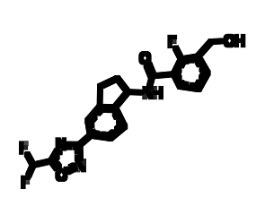 O=C(NC1CCc2cc(-c3noc(C(F)F)n3)ccc21)c1cccc(CO)c1F